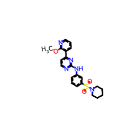 COc1ncccc1-c1ccnc(Nc2cccc(S(=O)(=O)N3CCCCC3)c2)n1